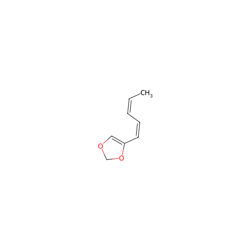 C/C=C\C=C/C1=COCO1